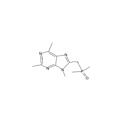 Cc1nc(C)c2nc(CP(C)(C)=O)n(C)c2n1